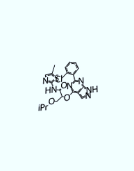 Cc1cnc(NC(=O)C(COC(C)C)Oc2nc(-c3ccccc3Cl)nc3[nH]ncc23)s1